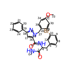 CNC(=O)C(Cc1cccc(Br)c1)NC(=O)c1cc(-c2ccccc2)nn1Cc1ccc(OC)cc1